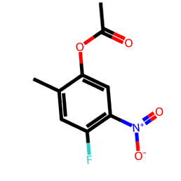 CC(=O)Oc1cc([N+](=O)[O-])c(F)cc1C